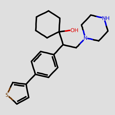 OC1(C(CN2CCNCC2)c2ccc(-c3ccsc3)cc2)CCCCC1